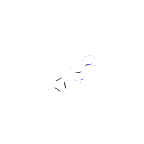 Cn1nnc(-c2cnn(-c3ccc(Cl)cc3)c2Cl)n1